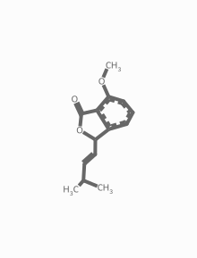 COc1cccc2c1C(=O)OC2C=CC(C)C